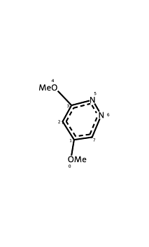 COc1[c]c(OC)nnc1